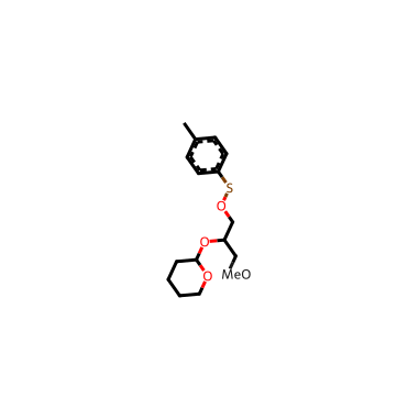 COCC(COSc1ccc(C)cc1)OC1CCCCO1